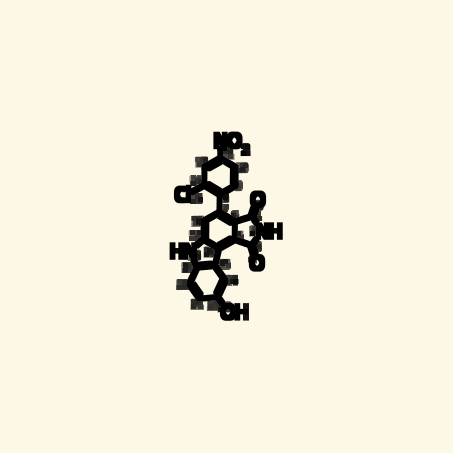 O=C1NC(=O)c2c1c(-c1ccc([N+](=O)[O-])cc1Cl)cc1[nH]c3ccc(O)cc3c21